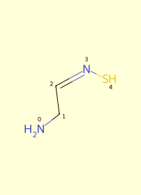 NC/C=N\S